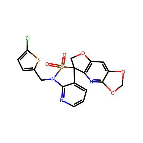 O=S1(=O)N(Cc2ccc(Cl)s2)c2ncccc2C12COc1cc3c(nc12)OCO3